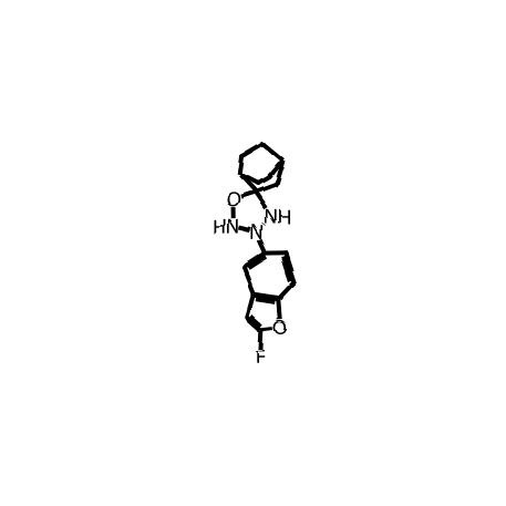 Fc1cc2cc(N3NOC4(CC5CCC4CC5)N3)ccc2o1